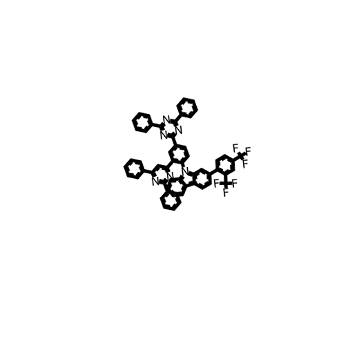 FC(F)(F)c1ccc(-c2ccc3c4ccccc4n(-c4ccc(-c5nc(-c6ccccc6)nc(-c6ccccc6)n5)cc4-c4cc(-c5ccccc5)nc(-c5ccccc5)n4)c3c2)c(C(F)(F)F)c1